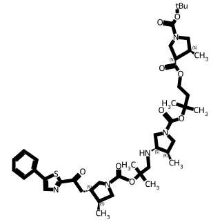 C[C@@H]1CN(C(=O)OC(C)(C)CN[C@@H]2CN(C(=O)OC(C)(C)CCOC(=O)[C@@H]3CN(C(=O)OC(C)(C)C)C[C@H]3C)C[C@H]2C)C[C@H]1CC(=O)c1ncc(-c2ccccc2)s1